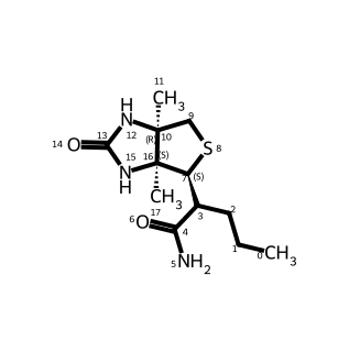 CCCC(C(N)=O)[C@@H]1SC[C@]2(C)NC(=O)N[C@]12C